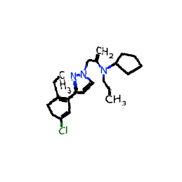 C=C(Cn1ccc(C2=C(CC)CCC(Cl)=C2)n1)N(CCC)C1CCCC1